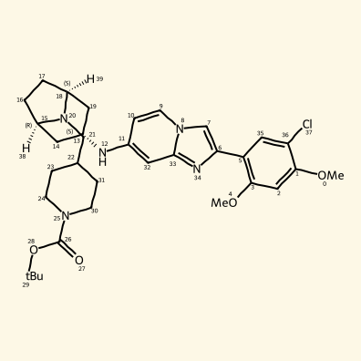 COc1cc(OC)c(-c2cn3ccc(N[C@@H]4C[C@H]5CC[C@@H](C4)N5CC4CCN(C(=O)OC(C)(C)C)CC4)cc3n2)cc1Cl